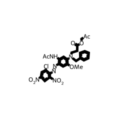 COc1cc(/N=N/c2c(Cl)cc([N+](=O)[O-])cc2[N+](=O)[O-])c(NC(C)=O)cc1N(CCC(=O)OCC(C)=O)Cc1ccccc1